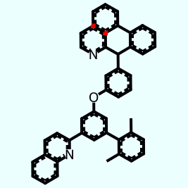 Cc1cccc(C)c1-c1cc(Oc2cccc(C(c3ccccn3)c3ccccc3-c3ccccc3)c2)cc(-c2ccc3ccccc3n2)c1